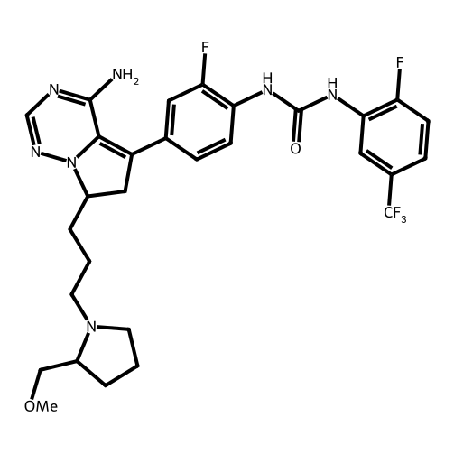 COCC1CCCN1CCCC1CC(c2ccc(NC(=O)Nc3cc(C(F)(F)F)ccc3F)c(F)c2)=C2C(N)=NC=NN21